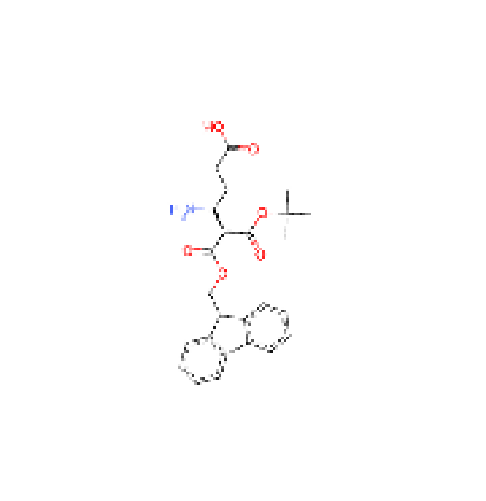 CC(C)(C)OC(=O)[C@@H](C(=O)OCC1c2ccccc2-c2ccccc21)C(N)CCC(=O)O